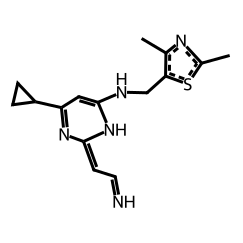 Cc1nc(C)c(CNC2=CC(C3CC3)=N/C(=C/C=N)N2)s1